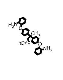 CCCCCCCCCCCC(C)(c1ccc(Oc2ccccc2N)cc1)c1ccc(Oc2ccccc2N)cc1